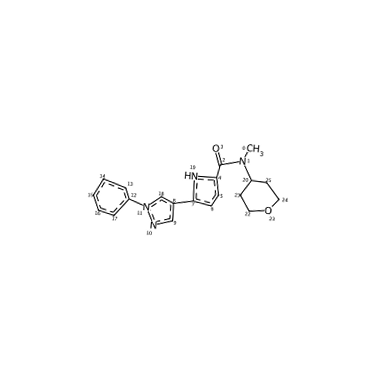 CN(C(=O)c1ccc(-c2cnn(-c3ccccc3)c2)[nH]1)C1CCOCC1